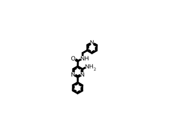 Nc1nc(-c2ccccc2)ncc1C(=O)NCc1cccnc1